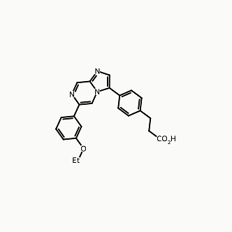 CCOc1cccc(-c2cn3c(-c4ccc(CCC(=O)O)cc4)cnc3cn2)c1